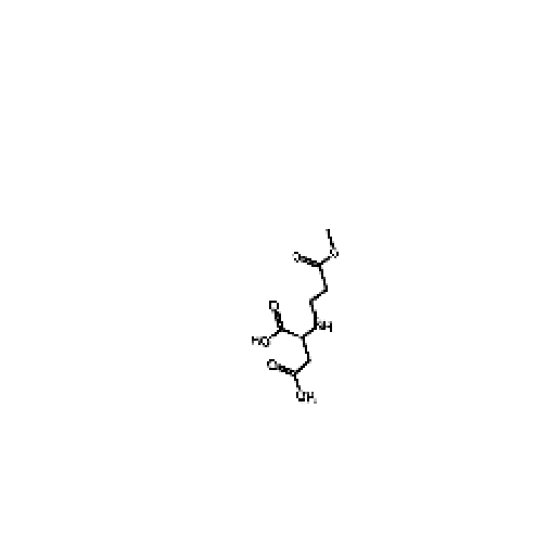 COC(=O)CCNC(CC(=O)O)C(=O)O